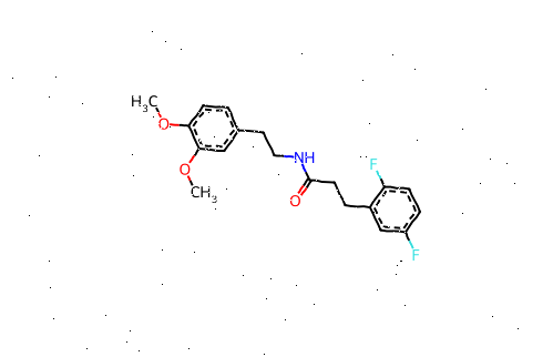 COc1ccc(CCNC(=O)CCc2cc(F)ccc2F)cc1OC